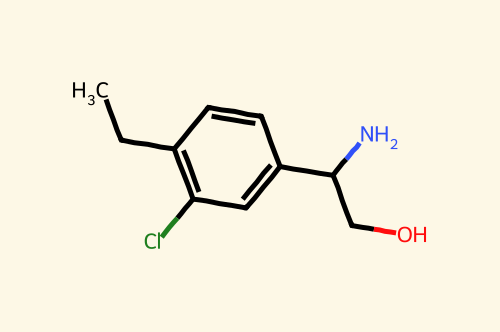 CCc1ccc(C(N)CO)cc1Cl